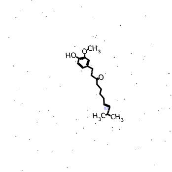 COc1cc(CCC(=O)CCCC/C=C/C(C)C)ccc1O